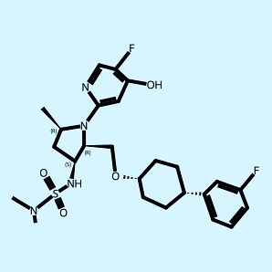 C[C@@H]1C[C@H](NS(=O)(=O)N(C)C)[C@H](CO[C@H]2CC[C@@H](c3cccc(F)c3)CC2)N1c1cc(O)c(F)cn1